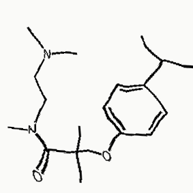 CC(C)c1ccc(OC(C)(C)C(=O)N(C)CCN(C)C)cc1